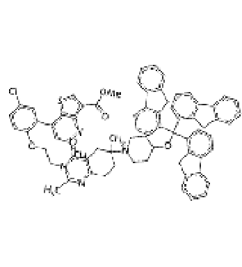 COC(=O)c1csc2c(-c3cc(Cl)ccc3OCCn3c(C)nc4c(c3=O)CC(C)(N3CCC(OC(c5cccc6c5Cc5ccccc5-6)(c5cccc6c5Cc5ccccc5-6)c5cccc6c5Cc5ccccc5-6)CC3)CC4)cc(C)nc12